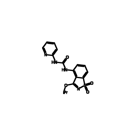 CC(C)OC1=NS(=O)(=O)c2cccc(NC(=O)Nc3ccccn3)c21